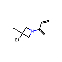 C=CC(=C)N1CC(CC)(CC)C1